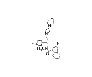 CN(C[C@@H](CCN1CC(N2CCOCC2)C1)c1ccc(F)cc1)C(=O)c1cc(F)cc2c1CCCC2